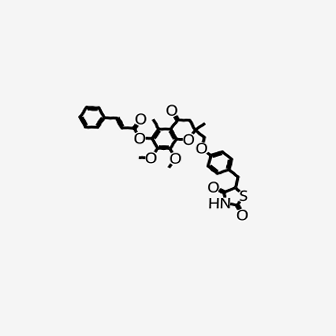 COc1c(OC(=O)C=Cc2ccccc2)c(C)c2c(c1OC)OC(C)(COc1ccc(CC3SC(=O)NC3=O)cc1)CC2=O